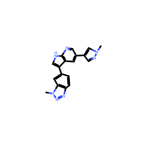 Cn1cc(-c2cnc3[nH]cc(-c4ccc5nnn(C)c5c4)c3c2)cn1